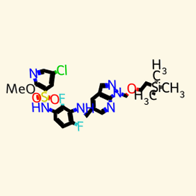 COc1ncc(Cl)cc1S(=O)(=O)Nc1ccc(F)c(NCc2cnc3c(cnn3COCC[Si](C)(C)C)c2)c1F